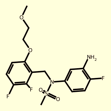 COCCOc1ccc(F)c(F)c1CN(c1ccc(F)c(N)c1)S(C)(=O)=O